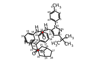 Cc1ccc(-n2nc(C(C)(C)C)cc2NC(=O)Nc2cccc(CC3CC4CCC(C3)N4C(=O)C(C)c3ccccc3)c2)cc1